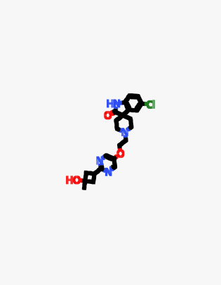 CC1(O)CC(c2ncc(OCCN3CCC4(CC3)C(=O)Nc3ccc(Cl)cc34)cn2)C1